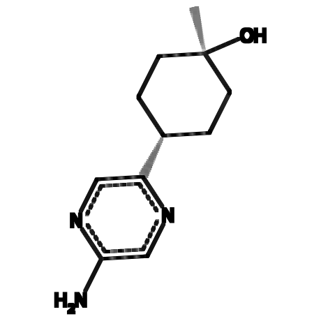 C[C@]1(O)CC[C@H](c2cnc(N)cn2)CC1